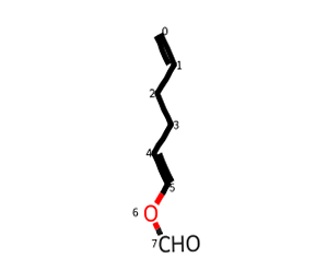 C=CCCC=COC=O